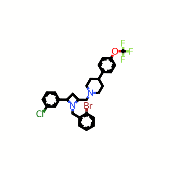 FC(F)(F)Oc1ccc(C2CCN(CC3CC(c4cccc(Cl)c4)N3Cc3ccccc3Br)CC2)cc1